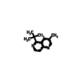 Cc1cnc2ccnc(C(C)(C)C)c2c1